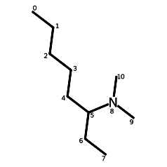 CCCCCC(CC)N(C)C